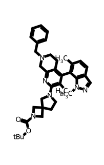 Cc1ccc2cnn(C)c2c1-c1c(C)c(N2CCC3(CN(C(=O)OC(C)(C)C)C3)C2)nc2c1CCN(Cc1ccccc1)C2